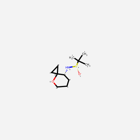 CC(C)(C)[S@+]([O-])N[C@@H]1CCCOC12CC2